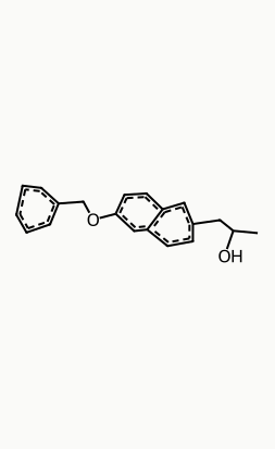 CC(O)Cc1ccc2cc(OCc3ccccc3)ccc2c1